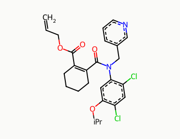 C=CCOC(=O)C1=C(C(=O)N(Cc2cccnc2)c2cc(OC(C)C)c(Cl)cc2Cl)CCCC1